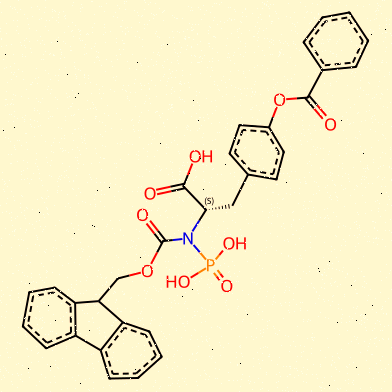 O=C(Oc1ccc(C[C@@H](C(=O)O)N(C(=O)OCC2c3ccccc3-c3ccccc32)P(=O)(O)O)cc1)c1ccccc1